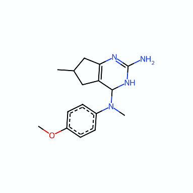 COc1ccc(N(C)C2NC(N)=NC3=C2CC(C)C3)cc1